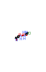 CN(C)CC1(c2ccc(C(=O)NCCC(=O)Nc3ccc4c(Cl)c[nH]c4c3)cc2)CC1